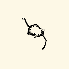 [CH2]Cc1ncc(Cl)cn1